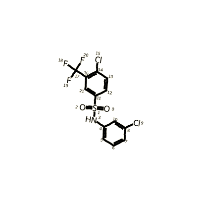 O=S(=O)(Nc1cccc(Cl)c1)c1ccc(Cl)c(C(F)(F)F)c1